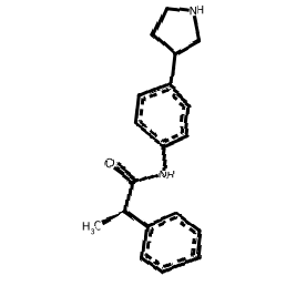 C[C@@H](C(=O)Nc1ccc(C2CCNC2)cc1)c1ccccc1